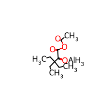 CCC(CC)(CC)C(=O)C(=O)OC(C)=O.[AlH3]